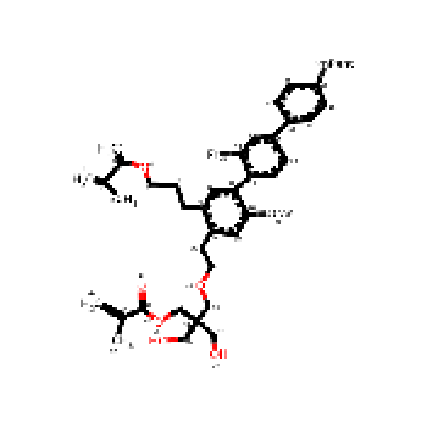 C=C(C)C(=C)OCCCc1cc(-c2ccc(-c3ccc(CCCCC)cc3)cc2CC)c(OC)cc1CCOCC(CO)(CO)COC(=O)C(=C)C